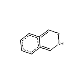 C1=c2ccccc2=CSN1